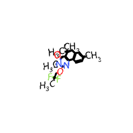 Cc1ccc2c(c1)CC(C)(C)c1c-2nc(OCC(C)(F)F)n(C)c1=O